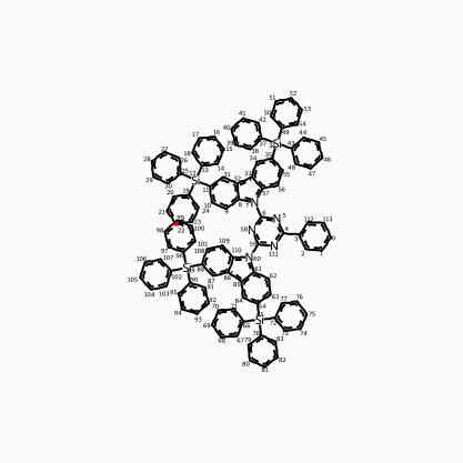 c1ccc(-c2nc(-n3c4ccc([Si](c5ccccc5)(c5ccccc5)c5ccccc5)cc4c4cc([Si](c5ccccc5)(c5ccccc5)c5ccccc5)ccc43)nc(-n3c4ccc([Si](c5ccccc5)(c5ccccc5)c5ccccc5)cc4c4cc([Si](c5ccccc5)(c5ccccc5)c5ccccc5)ccc43)n2)cc1